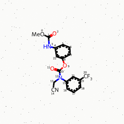 COC(=O)Nc1cccc(OC(=O)N(CC#N)c2cccc(C(F)(F)F)c2)c1